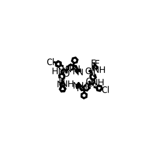 O=C([C@@H](Cc1ccc(Cl)cc1)NC1CCN(c2nc3ccccc3[nH]2)CC1)N1CCC(Cn2cncn2)(C2CCCCC2)CC1.O=C([C@@H]1CC(F)(F)CN1)N1CCC(N[C@H](Cc2ccc(Cl)cc2)C(=O)N2CCC(Cn3cncn3)(C3CCCCC3)CC2)CC1